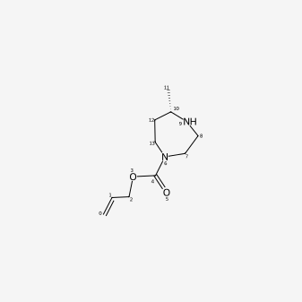 C=CCOC(=O)N1CCN[C@@H](C)CC1